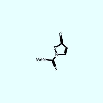 CNC(=S)n1ccc(=O)s1